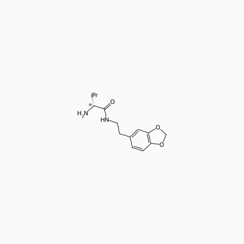 CC(C)[C@@H](N)C(=O)NCCc1ccc2c(c1)OCO2